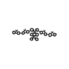 CC1(C)c2ccccc2-c2ccc(-c3ccc4c(c3)C(C)(C)c3cc(-c5cccc(N(c6cccc(-c7ccc8c(c7)C(C)(C)c7cc(-c9ccc%10c(c9)C(C)(C)c9ccccc9-%10)ccc7-8)c6)c6c7ccccc7c(N(c7ccccc7)c7ccccc7)c7ccccc67)c5)ccc3-4)cc21